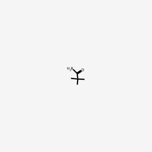 BC(=O)C(C)(C)C